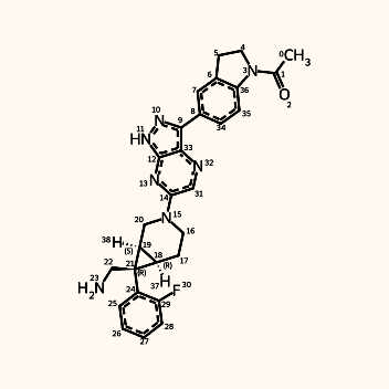 CC(=O)N1CCc2cc(-c3n[nH]c4nc(N5CC[C@@H]6[C@H](C5)[C@@]6(CN)c5ccccc5F)cnc34)ccc21